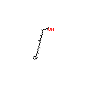 CC1=C(/C=C/C(C)=C/C=C/C(C)=C/C=C/C=C(C)/C=C/C=C(C)/C=C/C=C(\C)CCCC(C)(C)O)C(C)(C)CCC1